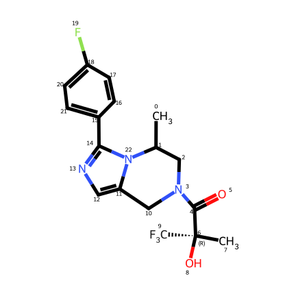 CC1CN(C(=O)[C@@](C)(O)C(F)(F)F)Cc2cnc(-c3ccc(F)cc3)n21